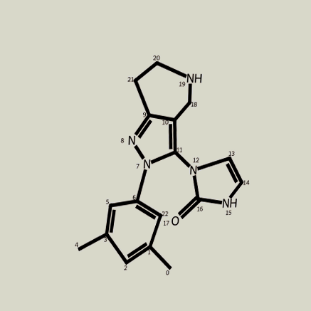 Cc1cc(C)cc(-n2nc3c(c2-n2cc[nH]c2=O)CNCC3)c1